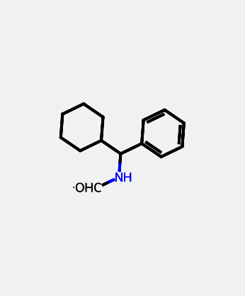 O=[C]NC(c1ccccc1)C1CCCCC1